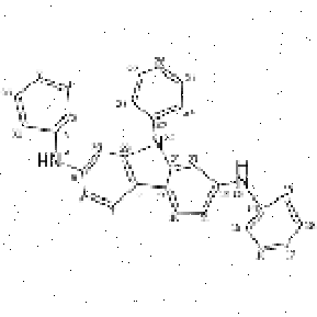 c1ccc(Nc2ccc3c4ccc(Nc5ccccc5)cc4n(-c4ccccc4)c3c2)cc1